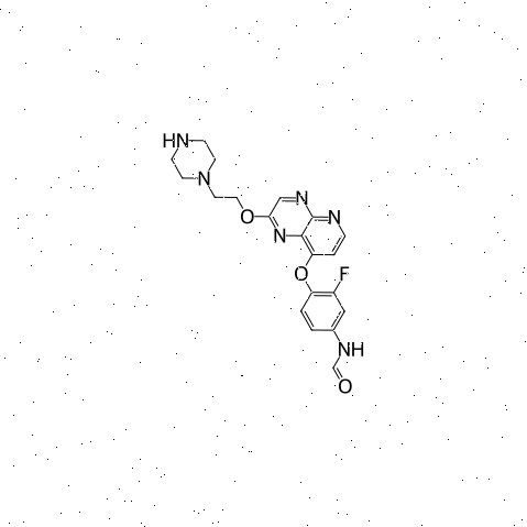 O=CNc1ccc(Oc2ccnc3ncc(OCCN4CCNCC4)nc23)c(F)c1